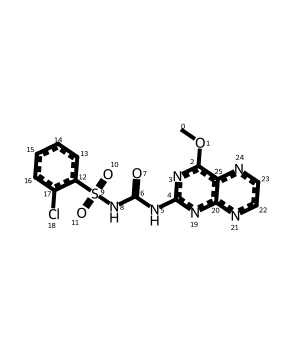 COc1nc(NC(=O)NS(=O)(=O)c2ccccc2Cl)nc2nccnc12